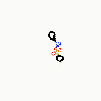 O=S(=O)(ONc1ccccc1)c1ccc(F)cc1